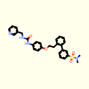 CN(C)S(=O)(=O)c1cccc(-c2ccccc2CCOc2ccc(NC(=O)NCc3cccnc3)cc2)c1